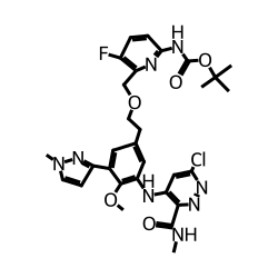 CNC(=O)c1nnc(Cl)cc1Nc1cc(CCOCc2nc(NC(=O)OC(C)(C)C)ccc2F)cc(-c2ccn(C)n2)c1OC